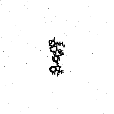 C[C@@H]1OCC2(CCN(c3ncc(Sc4cccnc4C(F)(F)F)nc3[S+](C)[O-])CC2)[C@@H]1N